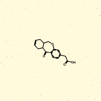 O=C(O)Cc1ccc2c(c1)OCC1CC=CCC1C2=O